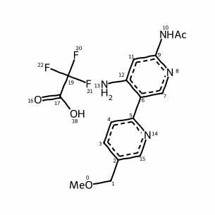 COCc1ccc(-c2cnc(NC(C)=O)cc2N)nc1.O=C(O)C(F)(F)F